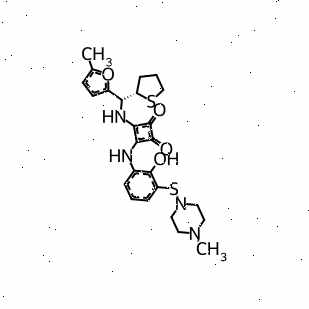 Cc1ccc(C(Nc2c(Nc3cccc(SN4CCN(C)CC4)c3O)c(=O)c2=O)[C@@H]2CCCS2)o1